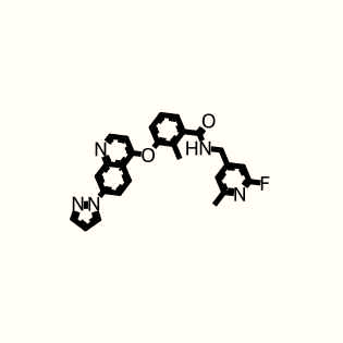 Cc1cc(CNC(=O)c2cccc(Oc3ccnc4cc(-n5cccn5)ccc34)c2C)cc(F)n1